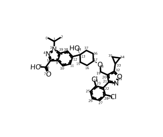 CC(C)n1nc(C(=O)O)c2ccc([C@]3(O)CC[C@@H](OCc4c(-c5c(Cl)cccc5Cl)noc4C4CC4)CC3)cc21